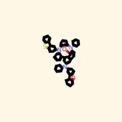 c1ccc(N(c2ccc3oc4ccccc4c3c2)c2cc3ccc4c5oc6c(cccc6n4-c4ccccc4)n(-c4ccc6sc7ccccc7c6c4)c4ccccc4c(c2)c35)cc1